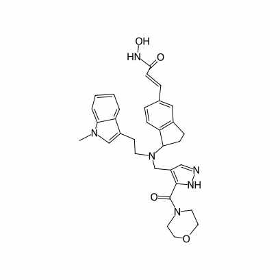 Cn1cc(CCN(Cc2cn[nH]c2C(=O)N2CCOCC2)C2CCc3cc(C=CC(=O)NO)ccc32)c2ccccc21